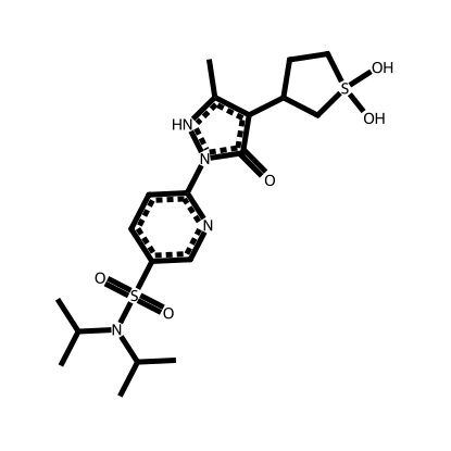 Cc1[nH]n(-c2ccc(S(=O)(=O)N(C(C)C)C(C)C)cn2)c(=O)c1C1CCS(O)(O)C1